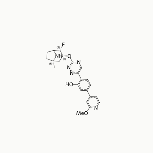 COc1cc(-c2ccc(-c3cnc(O[C@@H]4C[C@@]5(C)CCC(N5)[C@@H]4F)nn3)c(O)c2)ccn1